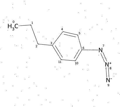 CCCc1ccc(N=[N+]=[N-])cc1